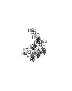 CC(C)(C)c1cc(C(=O)Nc2nnn[nH]2)cc(C(C)(C)C)c1O.Cc1cc(C(=O)Nc2nnn[nH]2)cc(C)c1O.Cc1cc(C(=O)Nc2nnnn2C)cc(C)c1O.Cn1nnnc1NC(=O)c1cc(C(C)(C)C)c(O)c(C(C)(C)C)c1